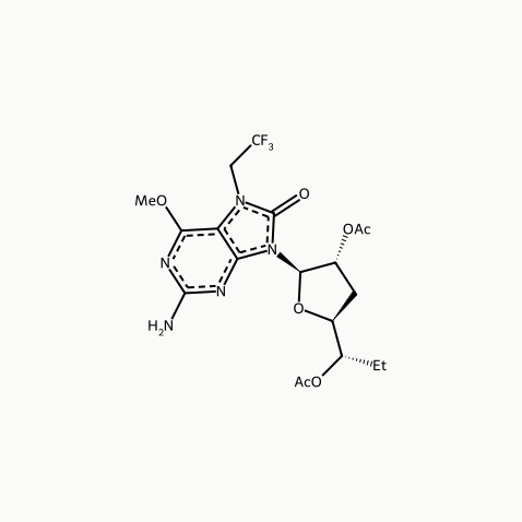 CC[C@H](OC(C)=O)[C@@H]1C[C@@H](OC(C)=O)[C@H](n2c(=O)n(CC(F)(F)F)c3c(OC)nc(N)nc32)O1